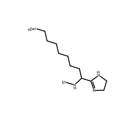 CCCCCCCCCCCCCCCCCC(NCC)C1=NCCN1